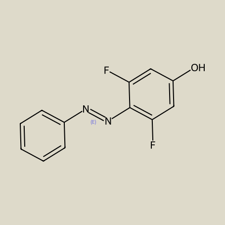 Oc1cc(F)c(/N=N/c2ccccc2)c(F)c1